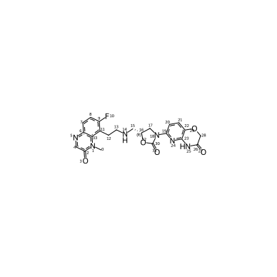 Cn1c(=O)cnc2ccc(F)c(CCNC[C@@H]3CN(c4ccc5c(n4)NC(=O)CO5)C(=O)O3)c21